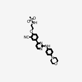 CS(=O)(=O)NCCOc1ccc(-c2ccnc(Nc3ccc(N4CCOCC4)cc3)n2)cc1C#N